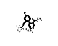 COC(=O)c1cnc(C)cc1-c1ccc(F)cc1C#C[Si](C)(C)C